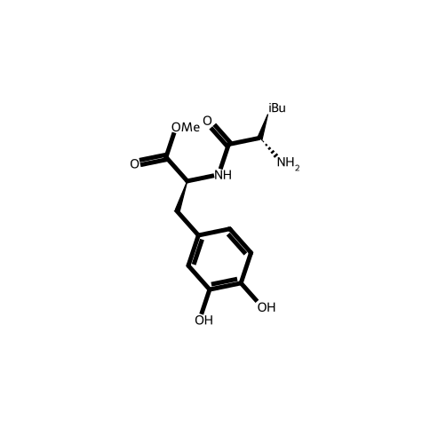 CC[C@H](C)[C@H](N)C(=O)N[C@@H](Cc1ccc(O)c(O)c1)C(=O)OC